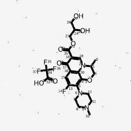 CC1COc2c(N3CCN(C)CC3)c(F)cc3c(=O)c(C(=O)OCC(O)CO)cn1c23.O=C(O)C(F)(F)F